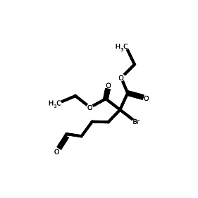 CCOC(=O)C(Br)(CCCC=O)C(=O)OCC